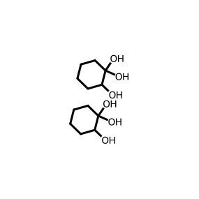 OC1CCCCC1(O)O.OC1CCCCC1(O)O